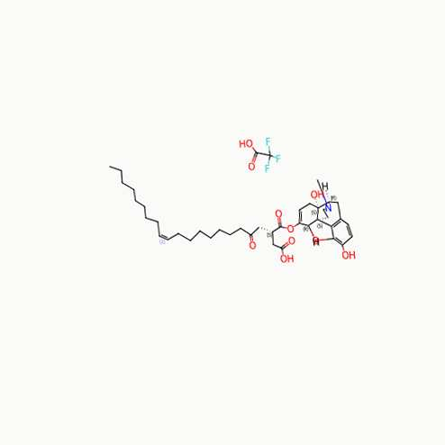 CCCCCCCC/C=C\CCCCCCCC(=O)C[C@@H](CC(=O)O)C(=O)OC1=CC[C@@]2(O)[C@H]3Cc4ccc(O)c5c4[C@@]2(CCN3C)[C@H]1O5.O=C(O)C(F)(F)F